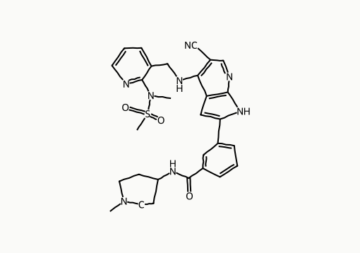 CN1CCC(NC(=O)c2cccc(-c3cc4c(NCc5cccnc5N(C)S(C)(=O)=O)c(C#N)cnc4[nH]3)c2)CC1